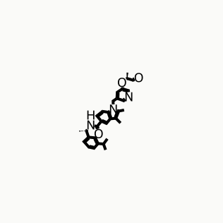 Cc1c(C)n(Cc2cncc(O[C@@H](C)C=O)c2)c2ccc(C(=O)N[C@@H](C)c3cccc(C(C)C)c3)cc12